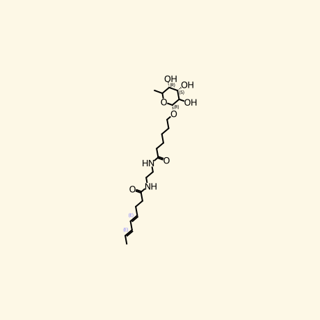 C/C=C/C=C/CCC(=O)NCCNC(=O)CCCCCO[C@@H]1OC(C)[C@H](O)[C@H](O)C1O